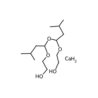 CC(C)CC(OCCO)OC(CC(C)C)OCCO.[CaH2]